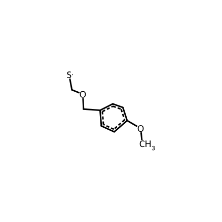 COc1ccc(COC[S])cc1